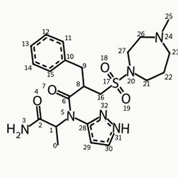 CC(C(N)=O)N(C(=O)C(Cc1ccccc1)CS(=O)(=O)N1CCCN(C)CC1)c1cc[nH]n1